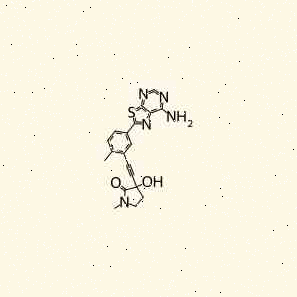 Cc1ccc(-c2nc3c(N)ncnc3s2)cc1C#CC1(O)CCN(C)C1=O